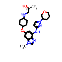 Cn1cnc2c(Nc3ccn(C4CCCOC4)n3)cc(OC3CCC(NC[C@@H](O)C(F)(F)F)CC3)cc21